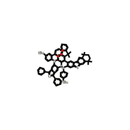 CC(C)(C)c1ccc(N2B3c4cc5c(-c6ccccc6)oc(-c6ccccc6)c5cc4N(c4ccc(C(C)(C)C)cc4-c4ccccc4)c4cc5c(c(c43)-c3cc4c(cc32)sc2cc3c(cc24)C(C)(C)CCC3(C)C)C(C)(C)c2ccccc2-5)cc1